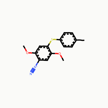 COc1cc(Sc2ccc(C)cc2)c(OC)cc1[N+]#N